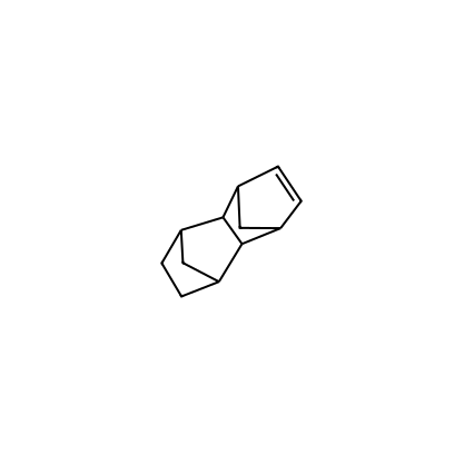 C1=CC2CC1C1C3CCC(C3)C21